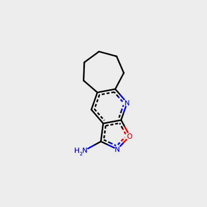 Nc1noc2nc3c(cc12)CCCCC3